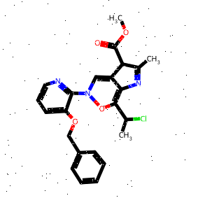 COC(=O)C1C2=CN(c3ncccc3OCc3ccccc3)OC(C(C)Cl)=C2N=C1C